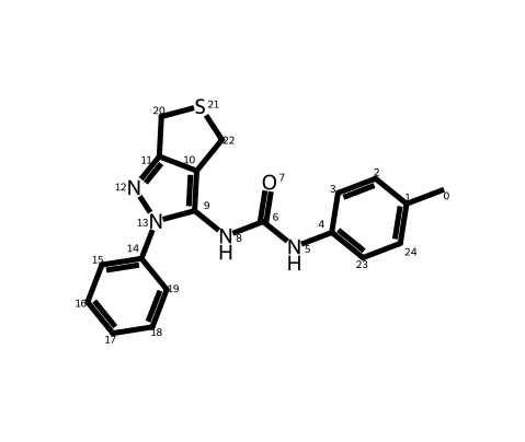 Cc1ccc(NC(=O)Nc2c3c(nn2-c2ccccc2)CSC3)cc1